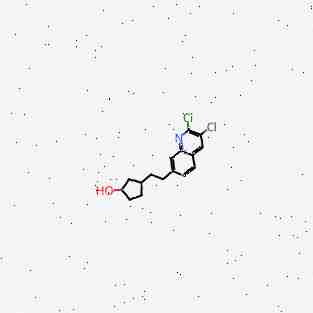 O[C@@H]1CCC(CCc2ccc3cc(Cl)c(Cl)nc3c2)C1